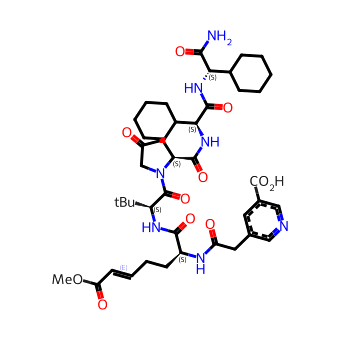 COC(=O)/C=C/CC[C@H](NC(=O)Cc1cncc(C(=O)O)c1)C(=O)N[C@H](C(=O)N1CC(=O)C[C@H]1C(=O)N[C@H](C(=O)N[C@H](C(N)=O)C1CCCCC1)C1CCCCC1)C(C)(C)C